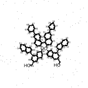 OCc1cc(-c2ccc3ccccc3c2)c2cc(Oc3ccc4cc(-c5ccccc5)ccc4c3-c3c(Oc4ccc5cc(CO)cc(-c6ccc7ccccc7c6)c5c4)ccc4cc(-c5ccccc5)ccc34)ccc2c1